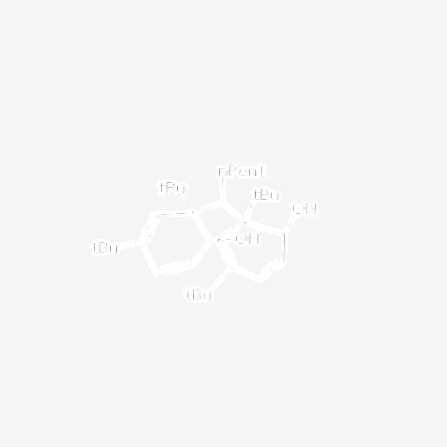 CCCCCC(C1(C(C)(C)C)C=C(C(C)(C)C)C=CC1O)C1(C(C)(C)C)C=C(C(C)(C)C)C=CC1O